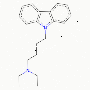 CCN(CC)CCCCn1c2ccccc2c2ccccc21